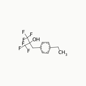 CCc1ccc(CC(O)(C(F)(F)F)C(F)(F)F)cc1